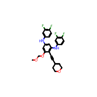 COCOc1cc(Nc2ccc(F)c(F)c2)cc(Nc2ccc(F)c(F)c2)c1C#CC1CCOCC1